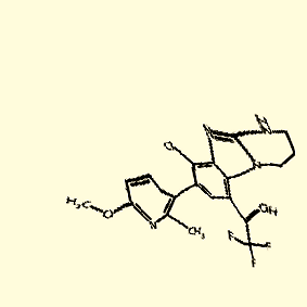 COc1ccc(-c2cc(C(O)C(F)(F)F)c3c(nc4n3CCCN4)c2Cl)c(C)n1